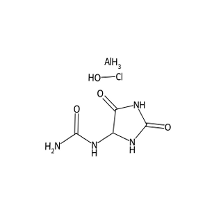 NC(=O)NC1NC(=O)NC1=O.OCl.[AlH3]